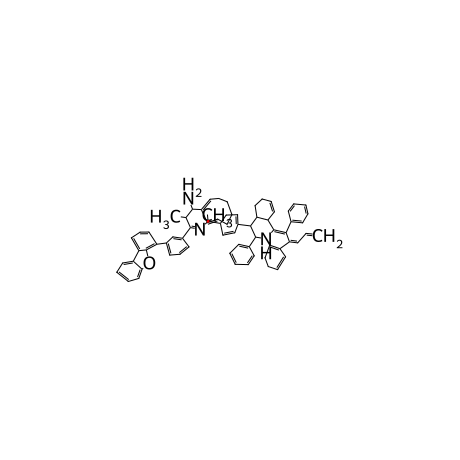 C=C/C=C(C1=CCCC=C1)\C(=C1/NC(c2ccccc2)C(C2=CCC(C(C)/N=C(/c3cccc(-c4cccc5c4oc4ccccc45)c3)C(C)C(N)C3=C/CCCC\C=C\3)C=C2)C2CCC=CC12)c1ccccc1